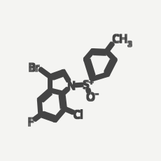 Cc1ccc([S+]([O-])n2cc(Br)c3cc(F)cc(Cl)c32)cc1